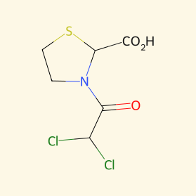 O=C(O)C1SCCN1C(=O)C(Cl)Cl